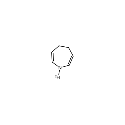 [2H]N1C=CCCC=C1